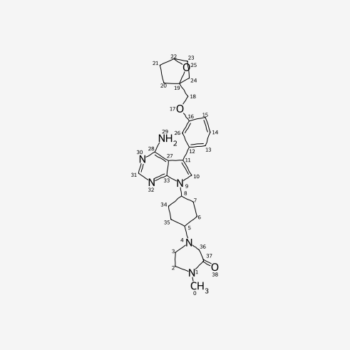 CN1CCN(C2CCC(n3cc(-c4cccc(OCC56CCC(CC5)O6)c4)c4c(N)ncnc43)CC2)CC1=O